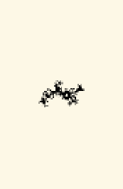 C[C@H](OC(=O)NC(C)(C)C)c1oc(-c2ccc(OC(F)F)c(OCC3CC3)c2)nc1CO